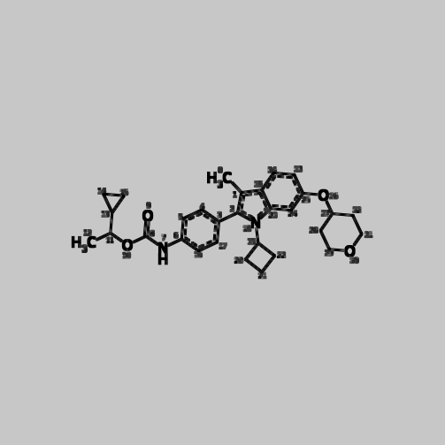 Cc1c(-c2ccc(NC(=O)OC(C)C3CC3)cc2)n(C2CCC2)c2cc(OC3CCOCC3)ccc12